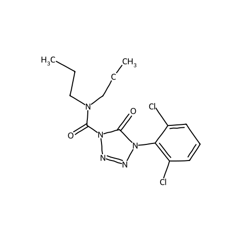 CCCN(CCC)C(=O)n1nnn(-c2c(Cl)cccc2Cl)c1=O